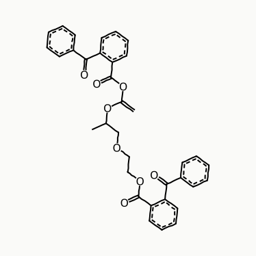 C=C(OC(=O)c1ccccc1C(=O)c1ccccc1)OC(C)COCCOC(=O)c1ccccc1C(=O)c1ccccc1